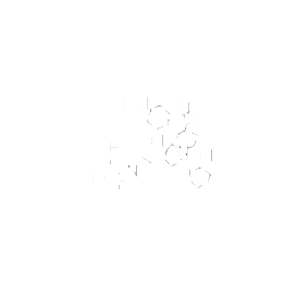 CC(C)(C)N1CC=C(c2cc(-c3ccccc3Cl)n3ccc(=O)c(-c4c(Cl)cccc4Cl)c3c2)CC1.Cl